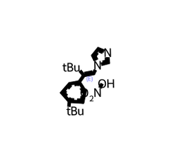 CC(C)(C)/C(=C\n1ccnc1)c1ccc(C(C)(C)C)cc1.O=[N+]([O-])O